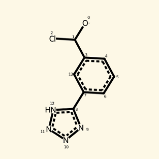 [O]C(Cl)c1cccc(-c2nnn[nH]2)c1